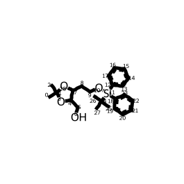 CC1(C)OC(CO)C(CCO[Si](c2ccccc2)(c2ccccc2)C(C)(C)C)O1